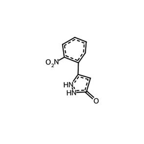 O=c1cc(-c2ccccc2[N+](=O)[O-])[nH][nH]1